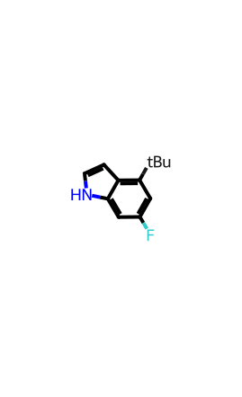 CC(C)(C)c1cc(F)cc2[nH]ccc12